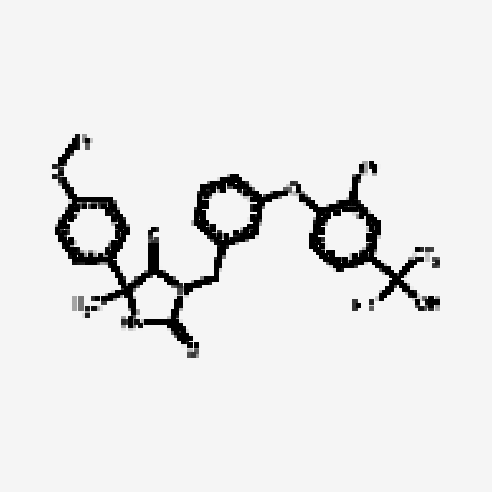 CCCc1cc(C(O)(C(F)(F)F)C(F)(F)F)ccc1Oc1cccc(CN2C(=O)NC(C)(c3ccc(OC(C)C)cc3)C2=O)c1